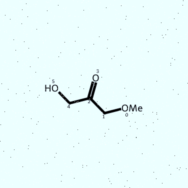 COCC(=O)[CH]O